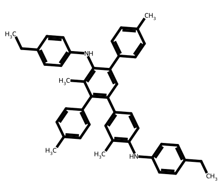 CCc1ccc(Nc2ccc(-c3cc(-c4ccc(C)cc4)c(Nc4ccc(CC)cc4)c(C)c3-c3ccc(C)cc3)cc2C)cc1